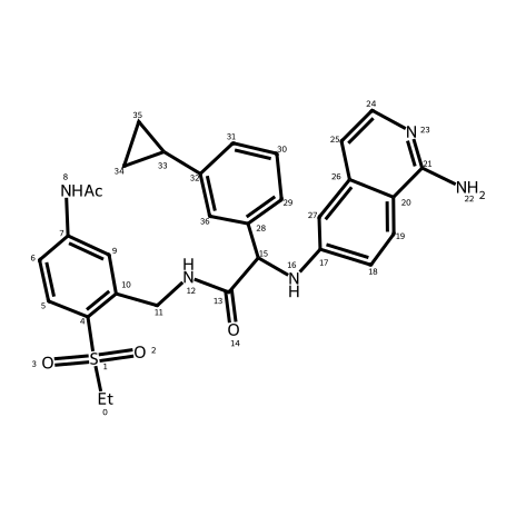 CCS(=O)(=O)c1ccc(NC(C)=O)cc1CNC(=O)C(Nc1ccc2c(N)nccc2c1)c1cccc(C2CC2)c1